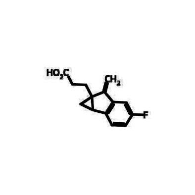 C=C1c2cc(F)ccc2C2CC12CCC(=O)O